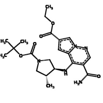 CCOC(=O)c1cc2c(N[C@@H]3CN(C(=O)OC(C)(C)C)C[C@H]3C)c(C(N)=O)cnn2c1